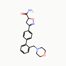 NC(=O)C1CC(c2ccc(-c3ccccc3CN3CCOCC3)cc2)=NO1